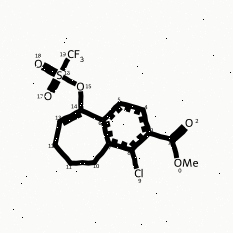 COC(=O)c1ccc2c(c1Cl)CCCC=C2OS(=O)(=O)C(F)(F)F